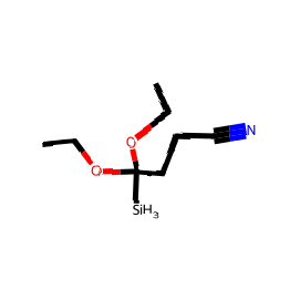 CCOC([SiH3])(CCC#N)OCC